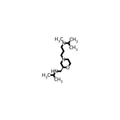 CC(C)NC[C@H]1CN(CCCN(C)C(C)C)CCO1